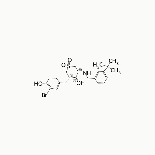 CC(C)(C)c1cccc(CN[C@H]2CS(=O)(=O)C[C@@H](Cc3ccc(O)c(Br)c3)[C@@H]2O)c1